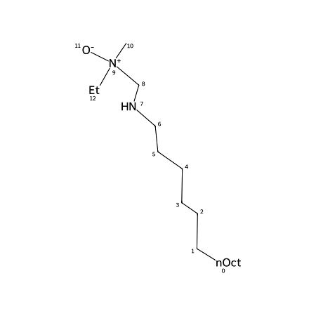 CCCCCCCCCCCCCCNC[N+](C)([O-])CC